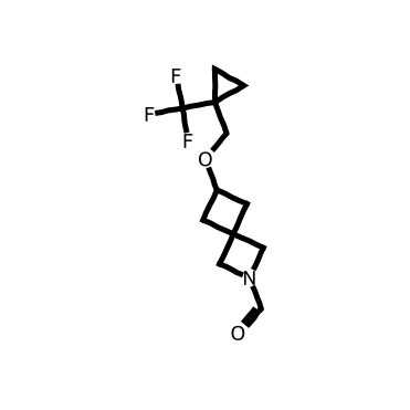 O=CN1CC2(CC(OCC3(C(F)(F)F)CC3)C2)C1